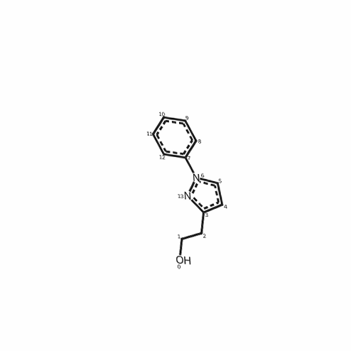 OCCc1ccn(-c2ccccc2)n1